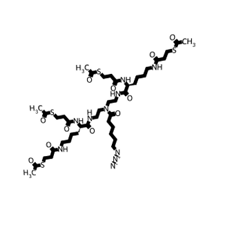 CC(=O)SCCC(=O)NCCCC[C@H](NC(=O)CCSC(C)=O)C(=O)NCCN(CCNC(=O)[C@H](CCCCNC(=O)CCSC(C)=O)NC(=O)CCSC(C)=O)C(=O)CCCCCN=[N+]=[N-]